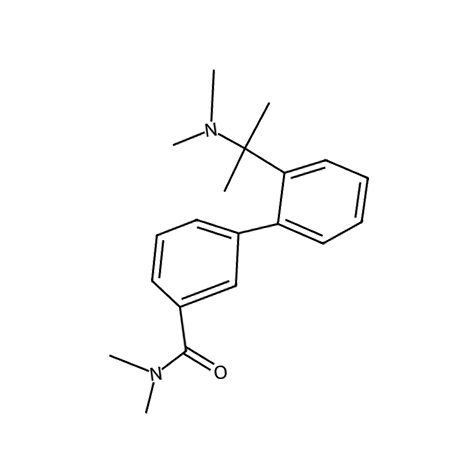 CN(C)C(=O)c1cccc(-c2ccccc2C(C)(C)N(C)C)c1